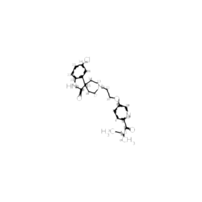 CN(C)C(=O)c1ccc(OCCN2CCC3(CC2)C(=O)Nc2ccc(Cl)cc23)cn1